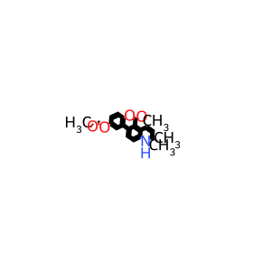 COCOc1ccc2oc(=O)c3c4c(ccc3c2c1)NC(C)(C)C=C4C